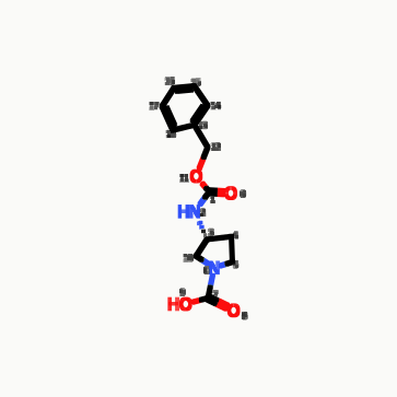 O=C(N[C@@H]1CCN(C(=O)O)C1)OCc1ccccc1